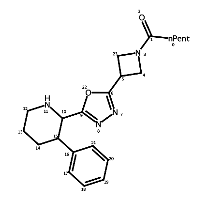 CCCCCC(=O)N1CC(c2nnc(C3NCCCC3c3ccccc3)o2)C1